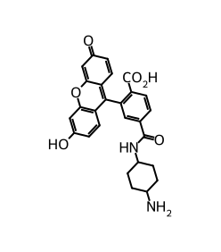 NC1CCC(NC(=O)c2ccc(C(=O)O)c(-c3c4ccc(=O)cc-4oc4cc(O)ccc34)c2)CC1